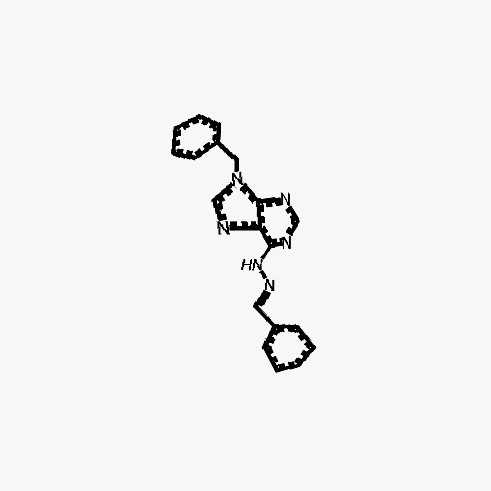 C(=NNc1ncnc2c1ncn2Cc1ccccc1)c1ccccc1